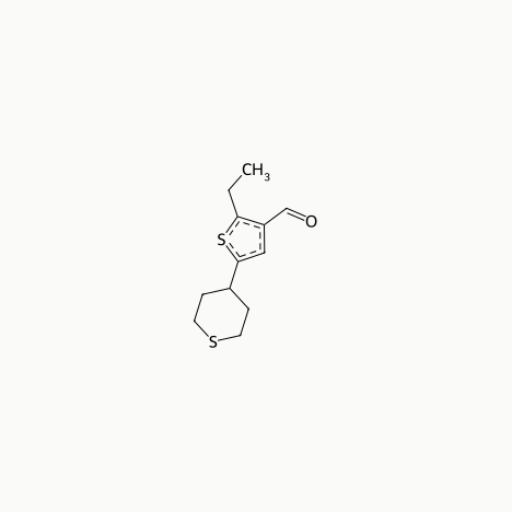 CCc1sc(C2CCSCC2)cc1C=O